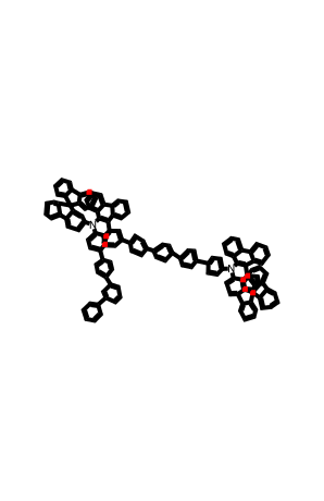 c1ccc(-c2cccc(-c3ccc(-c4ccc(N(c5ccc6c(c5)C5(c7ccccc7-c7ccccc75)c5ccccc5-6)c5c(-c6cccc(-c7ccc(-c8ccc(-c9ccc(-c%10ccc(N(c%11ccc%12c(c%11)C%11(c%13ccccc%13-c%13ccccc%13%11)c%11ccccc%11-%12)c%11c(-c%12ccccc%12)c%12ccccc%12c%12ccccc%11%12)cc%10)cc9)cc8)cc7)c6)c6ccccc6c6ccccc56)cc4)cc3)c2)cc1